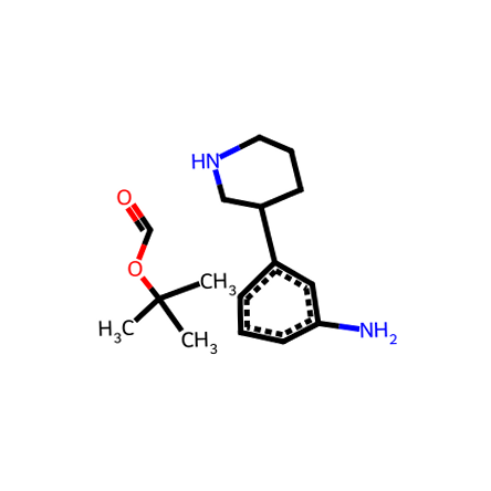 CC(C)(C)OC=O.Nc1cccc(C2CCCNC2)c1